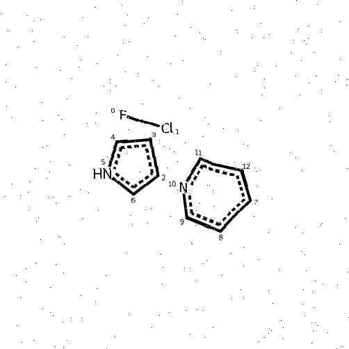 FCl.c1cc[nH]c1.c1ccncc1